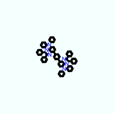 c1ccc(-c2nc3c(-c4ccc(-c5ccc(N(c6ccccc6)c6ccccc6)c6nc(-c7ccccc7)c(-c7ccccc7)nc56)cc4)ccc(N(c4ccccc4)c4ccccc4)c3nc2-c2ccccc2)cc1